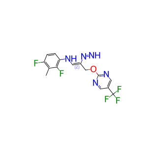 Cc1c(F)ccc(N/C=C(/COc2ncc(C(F)(F)F)cn2)N=N)c1F